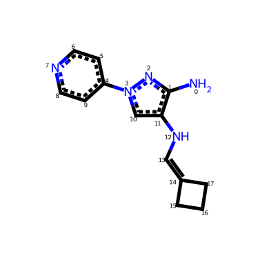 Nc1nn(-c2ccncc2)cc1NC=C1CCC1